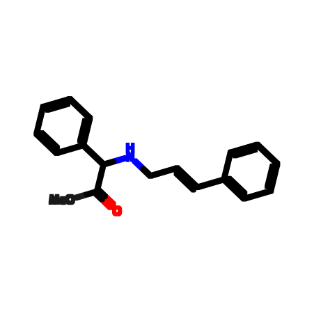 COC(=O)C(NC/C=C/c1ccccc1)c1ccccc1